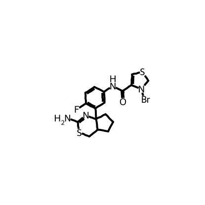 NC1=NC2(c3cc(NC(=O)C4=CSCN4Br)ccc3F)CCCC2CS1